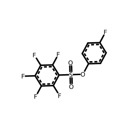 O=S(=O)(Oc1ccc(F)cc1)c1c(F)c(F)c(F)c(F)c1F